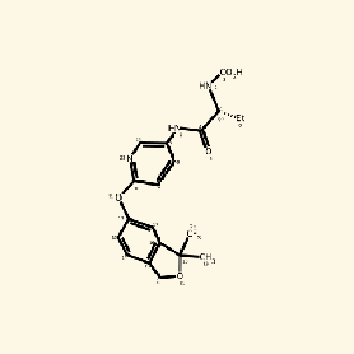 CC[C@@H](NC(=O)O)C(=O)Nc1ccc(Oc2ccc3c(c2)C(C)(C(F)(F)F)OC3)nc1